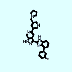 Fc1cccc(-c2cccc3[nH]c(-c4n[nH]c5cnc(-c6cncc(CN7CCCC7)c6)cc45)nc23)c1